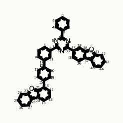 c1ccc(-c2nc(-c3cccc(-c4ccc(-c5cccc6c5oc5ccccc56)cc4)c3)nc(-c3ccc4c(c3)oc3ccccc34)n2)cc1